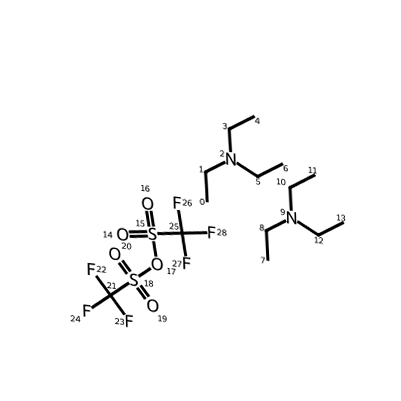 CCN(CC)CC.CCN(CC)CC.O=S(=O)(OS(=O)(=O)C(F)(F)F)C(F)(F)F